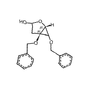 OC1C[C@@]2(OCc3ccccc3)C(OCc3ccccc3)[C@H]2O1